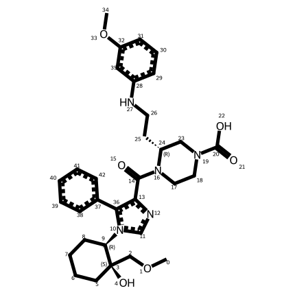 COC[C@]1(O)CCCC[C@H]1n1cnc(C(=O)N2CCN(C(=O)O)C[C@H]2CCNc2cccc(OC)c2)c1-c1ccccc1